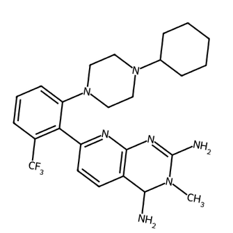 CN1C(N)=Nc2nc(-c3c(N4CCN(C5CCCCC5)CC4)cccc3C(F)(F)F)ccc2C1N